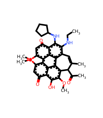 CCNc1c(NC2CCCC2)c2c(=O)cc(OC)c3c4c(OC)cc(=O)c5c(O)c(OC)c6c(c(c1C=C(C)C6C(C)=O)c23)c54